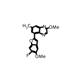 COc1cnc2c(-c3cc4cc(OC)c(F)cc4o3)cc(C)cc2n1